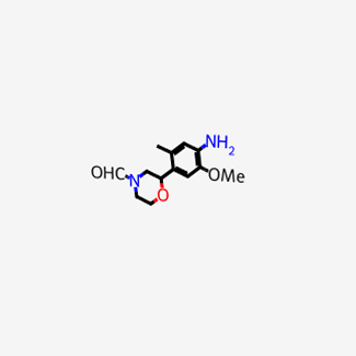 COc1cc(C2CN(C=O)CCO2)c(C)cc1N